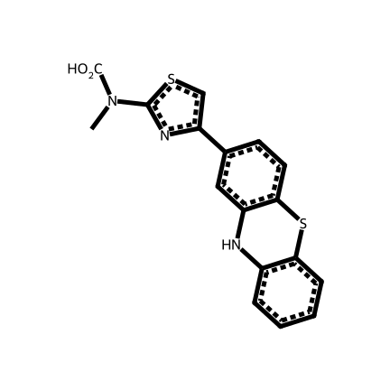 CN(C(=O)O)c1nc(-c2ccc3c(c2)Nc2ccccc2S3)cs1